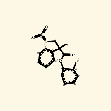 CC(CN=S(=O)=O)(C(=O)Oc1ccccc1Br)c1ccccc1